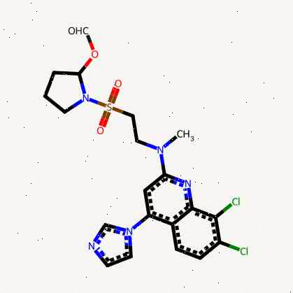 CN(CCS(=O)(=O)N1CCCC1OC=O)c1cc(-n2ccnc2)c2ccc(Cl)c(Cl)c2n1